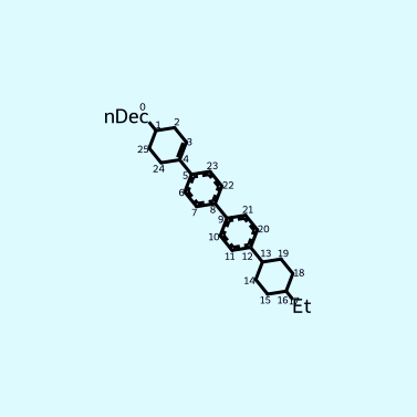 CCCCCCCCCCC1CC=C(c2ccc(-c3ccc(C4CCC(CC)CC4)cc3)cc2)CC1